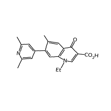 CCn1cc(C(=O)O)c(=O)c2cc(C)c(-c3cc(C)nc(C)c3)cc21